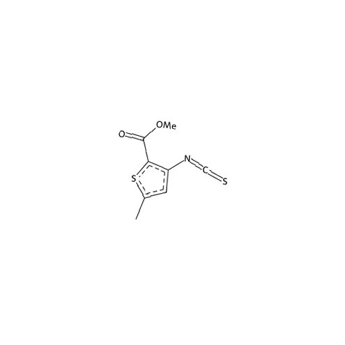 COC(=O)c1sc(C)cc1N=C=S